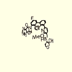 COc1nc(-c2cccc(-c3cc(F)cc(NC(=O)c4ncnn(C)c4=O)c3Cl)c2Cl)ccc1CNC1CCOC[C@@H]1O